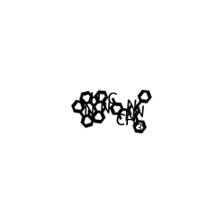 Cc1cc(N2c3ccccc3C(c3ccccc3)(n3c4ccccc4c4ccccc43)c3ccccc32)c(C)cc1-c1nc(-c2ccccc2)nc(-c2ccccc2)n1